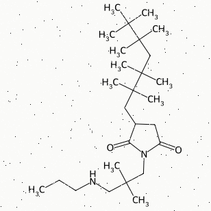 CCCNCC(C)(C)CN1C(=O)CC(CC(C)(C)C(C)(C)CC(C)(C)C(C)(C)C)C1=O